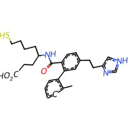 Cc1ccccc1-c1cc(CCc2c[nH]cn2)ccc1C(=O)NC(CCCCS)CCC(=O)O